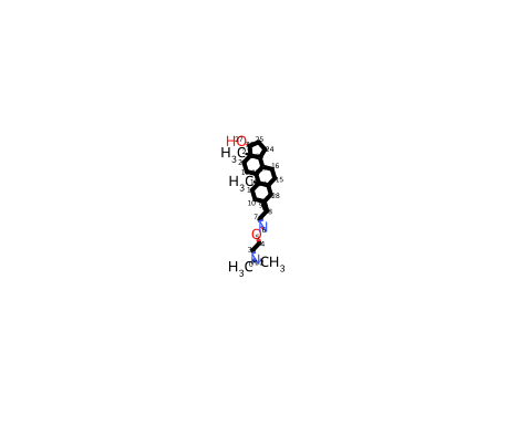 CN(C)CCO/N=C/C=C1\CC[C@@]2(C)C(CCC3C2CC[C@@]2(C)C3CC[C@@H]2O)C1